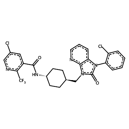 O=C(N[C@H]1CC[C@H](Cn2c(=O)n(-c3ccccc3Cl)c3cccnc32)CC1)c1cc(Cl)cnc1C(F)(F)F